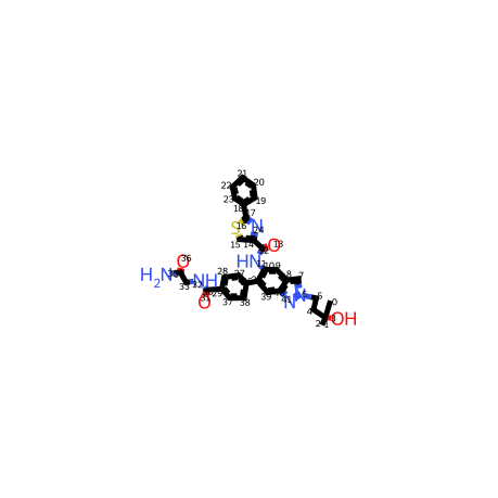 CC(C)(O)CCn1cc2cc(NC(=O)c3csc(-c4ccccc4)n3)c(-c3ccc(C(=O)NCC(N)=O)cc3)cc2n1